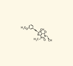 C#CCn1c(=O)c2c(nc(C#Cc3cccc(OC)c3)n2C)n(CC)c1=O